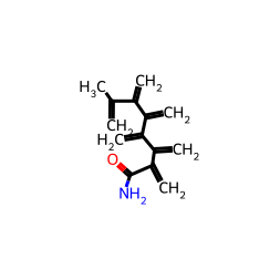 C=C(C)C(=C)C(=C)C(=C)C(=C)C(=C)C(N)=O